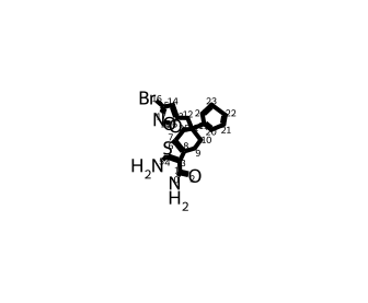 NC(=O)c1c(N)sc2c1CCC(Cc1cc(Br)no1)(c1ccccc1)C2=O